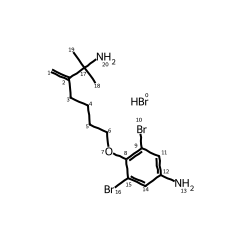 Br.C=C(CCCCOc1c(Br)cc(N)cc1Br)C(C)(C)N